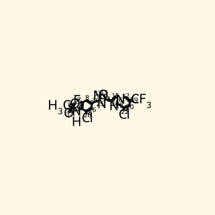 CS(=O)(=O)Nc1c(F)cc(-c2noc(-c3cn4cc(C(F)(F)F)cc(Cl)c4n3)n2)cc1Cl